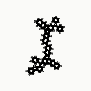 c1ccc(N(c2ccccc2)c2cc3c4cc5ccccc5cc4n4c5cc6ccc(-c7ccc8cc9c(cc8c7)c7cc(N(c8ccccc8)c8cccc%10c8oc8ccccc8%10)cc8c%10cc%11ccccc%11cc%10n9c87)cc6cc5c(c2)c34)cc1